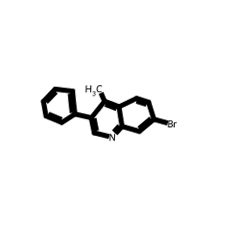 Cc1c(-c2ccccc2)cnc2cc(Br)ccc12